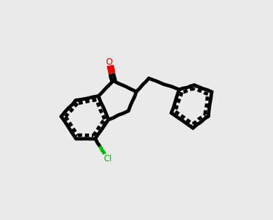 O=C1c2cccc(Cl)c2CC1Cc1ccccc1